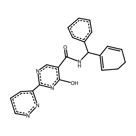 O=C(NC(C1=CCCC=C1)c1ccccc1)c1cnc(-c2cccnn2)nc1O